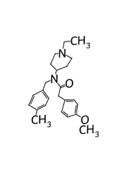 CCN1CCC(N(Cc2ccc(C)cc2)C(=O)Cc2ccc(OC)cc2)CC1